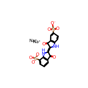 O=C1/C(=C2\Nc3c(cccc3S(=O)(=O)[O-])C2=O)Nc2ccc(S(=O)(=O)[O-])cc21.[Na+].[Na+]